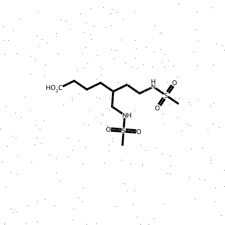 CS(=O)(=O)NCCC(CCCC(=O)O)CNS(C)(=O)=O